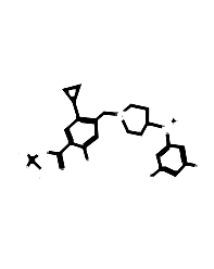 CC(C)(C)OC(=O)c1cc(C2CC2)c(CN2CCC([S+]([O-])c3cc(Cl)cc(Cl)c3)CC2)cc1F